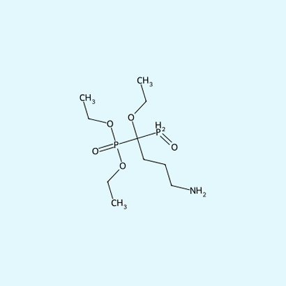 CCOC(CCCN)([PH2]=O)P(=O)(OCC)OCC